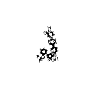 C[C@@]1(O)C[C@H](c2ccccc2OC(F)F)c2c1nc1ccc(-c3cnc(N4CCNC(=O)C4)nc3)cn21